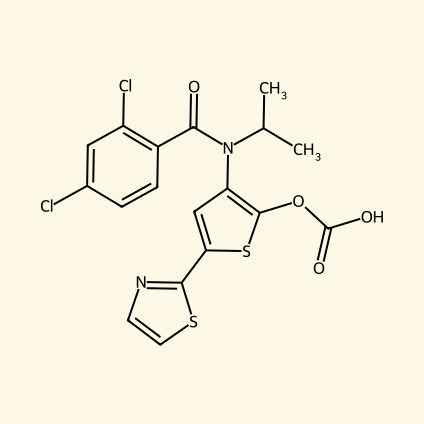 CC(C)N(C(=O)c1ccc(Cl)cc1Cl)c1cc(-c2nccs2)sc1OC(=O)O